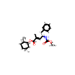 CC(=C[C@H](Cc1ccccc1)NC(=O)OC(C)(C)C)C(=O)O[C@@H]1C[C@H](C)CC[C@H]1C(C)C